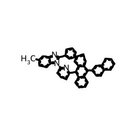 Cc1ccc2c(c1)nc(-c1ccccc1)n2-c1cccc(-c2c3ccccc3c(-c3ccc4ccccc4c3)c3ccccc23)n1